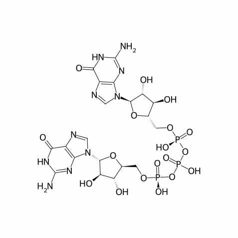 Nc1nc2c(ncn2[C@@H]2O[C@@H](CO[P@@](=O)(O)OP(=O)(O)O[P@](=O)(O)OC[C@@H]3O[C@@H](n4cnc5c(=O)[nH]c(N)nc54)[C@H](O)[C@H]3O)[C@H](O)[C@H]2O)c(=O)[nH]1